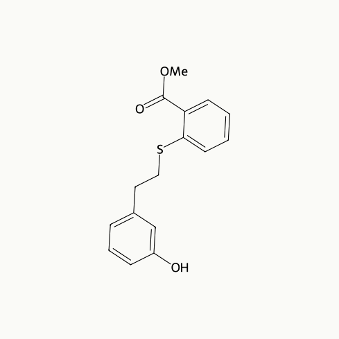 COC(=O)c1ccccc1SCCc1cccc(O)c1